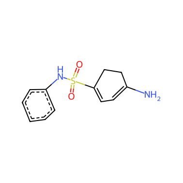 NC1=CC=C(S(=O)(=O)Nc2ccccc2)CC1